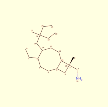 CCC1CCC2C[C@@](C)(CN)C2CCC1CC(C)(CC)CC